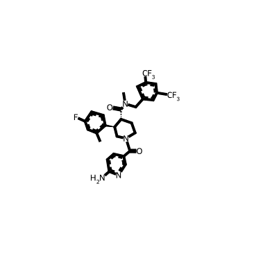 Cc1cc(F)ccc1[C@@H]1CN(C(=O)c2ccc(N)nc2)CC[C@H]1C(=O)N(C)Cc1cc(C(F)(F)F)cc(C(F)(F)F)c1